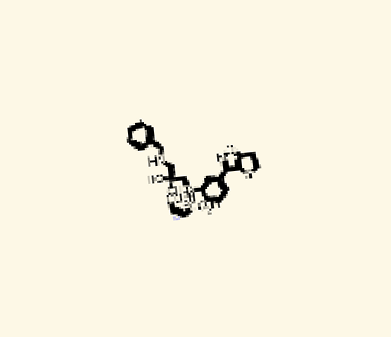 C[C@](O)(CNCc1ccccc1)COc1cccc(-c2noc3ccsc23)c1.O=C(O)/C=C\C(=O)O